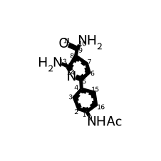 CC(=O)Nc1ccc(-c2ccc(C(N)=O)c(N)n2)cc1